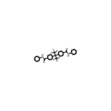 O=C(Nc1ccccc1)c1ccc(C(c2ccc(C(=O)Nc3ccccc3)cc2)(C(F)(F)F)C(F)(F)F)cc1